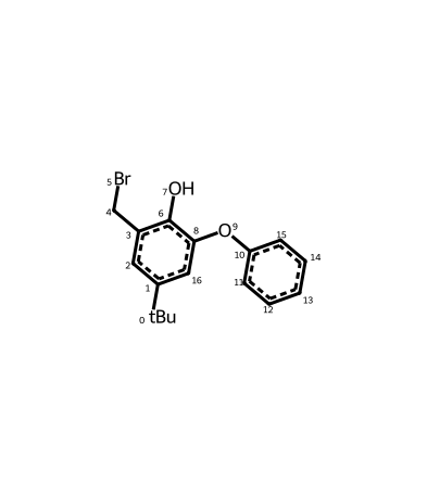 CC(C)(C)c1cc(CBr)c(O)c(Oc2ccccc2)c1